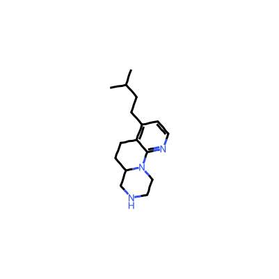 CC(C)CCc1ccnc2c1CCC1CNCCN21